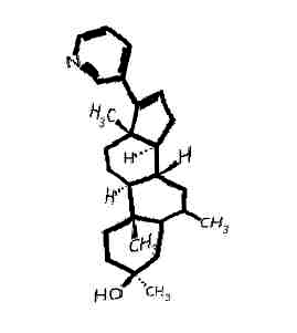 CC1C[C@@H]2[C@H](CC[C@]3(C)C(c4cccnc4)=CC[C@@H]23)[C@@]2(C)CC[C@](C)(O)CC12